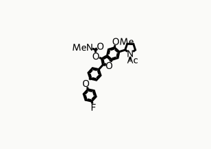 CNC(=O)Oc1c(-c2ccc(Oc3ccc(F)cc3)cc2)oc2cc(C3CCCN3C(C)=O)c(OC)cc12